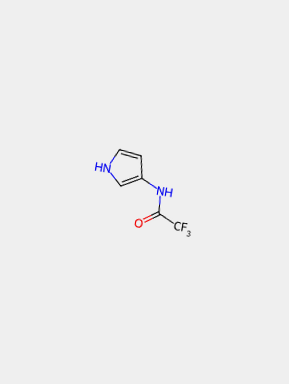 O=C(Nc1cc[nH]c1)C(F)(F)F